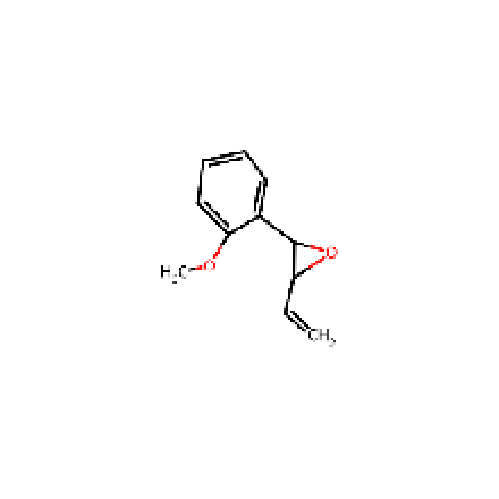 C=CC1OC1c1ccccc1OC